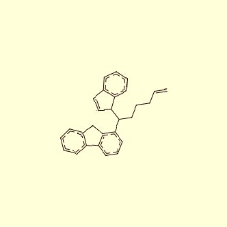 C=CCCCC(c1cccc2c1Cc1ccccc1-2)C1[C]=Cc2ccccc21